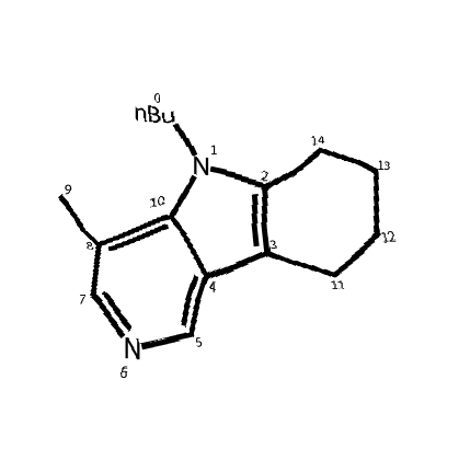 CCCCn1c2c(c3cncc(C)c31)CCCC2